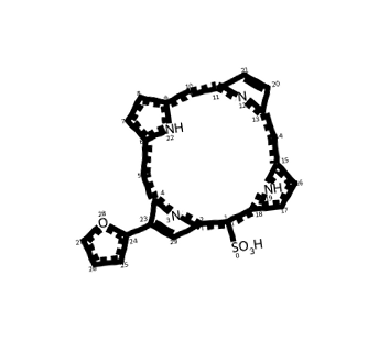 O=S(=O)(O)c1c2nc(cc3ccc(cc4nc(cc5ccc1[nH]5)C=C4)[nH]3)C(c1ccco1)=C2